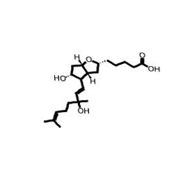 CC(C)=CCCC(C)(O)/C=C/C1[C@H](O)C[C@@H]2O[C@H](CCCCC(=O)O)C[C@H]12